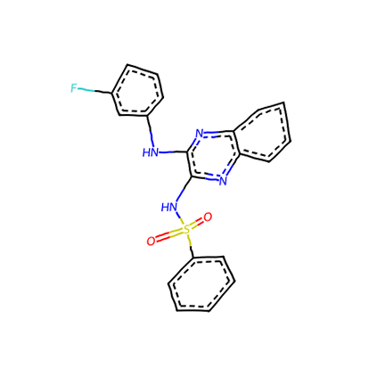 O=S(=O)(Nc1nc2ccccc2nc1Nc1cccc(F)c1)c1ccccc1